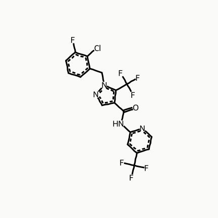 O=C(Nc1cc(C(F)(F)F)ccn1)c1cnn(Cc2cccc(F)c2Cl)c1C(F)(F)F